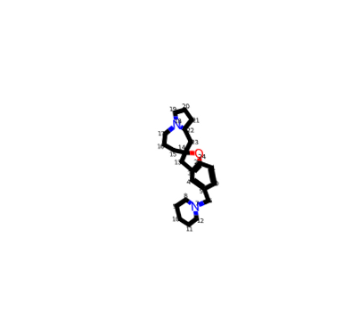 c1cc2c(cc1CN1CCCCC1)CC1(CCCN3CCCC3C1)O2